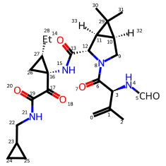 C=C(C)[C@H](NC=O)C(=O)N1C[C@H]2[C@@H]([C@H]1C(=O)N[C@]1(C(=O)C(=O)NCC3CC3)C[C@@H]1CC)C2(C)C